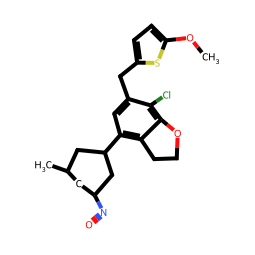 COc1ccc(Cc2cc(C3CC(C)CC(N=O)C3)c3c(c2Cl)OCC3)s1